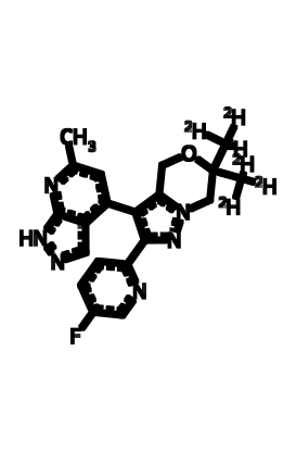 [2H]C([2H])([2H])C1(C([2H])([2H])[2H])Cn2nc(-c3ccc(F)cn3)c(-c3cc(C)nc4[nH]ncc34)c2CO1